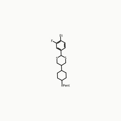 CCCCCC1CCC(C2CSC(c3ccc(CC)c(F)c3)SC2)CC1